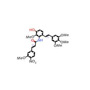 COc1cc(/C=C/C(=O)Nc2c(/C=C/c3cc(OC)c(OC)c(OC)c3)ccc(O)c2OC)ccc1[N+](=O)[O-]